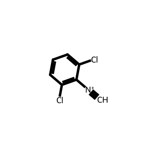 C#[N+]c1c(Cl)cccc1Cl